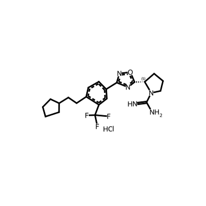 Cl.N=C(N)N1CCC[C@H]1c1nc(-c2ccc(CCC3CCCC3)c(C(F)(F)F)c2)no1